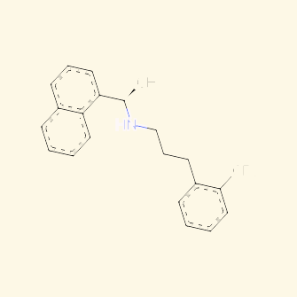 C[C@@H](NCCCc1ccccc1C(F)(F)F)c1cccc2ccccc12